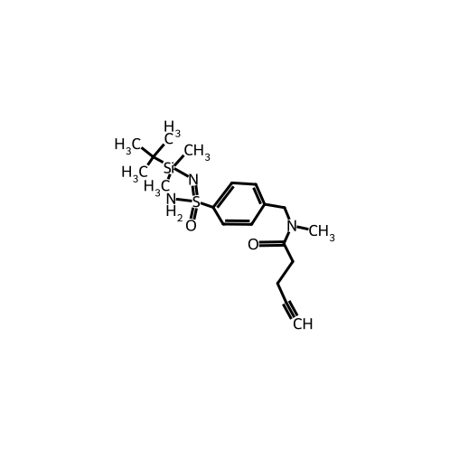 C#CCCC(=O)N(C)Cc1ccc(S(N)(=O)=N[Si](C)(C)C(C)(C)C)cc1